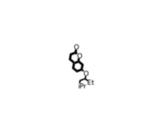 CCC(CC(C)C)Oc1ccc2ccc(=O)oc2c1